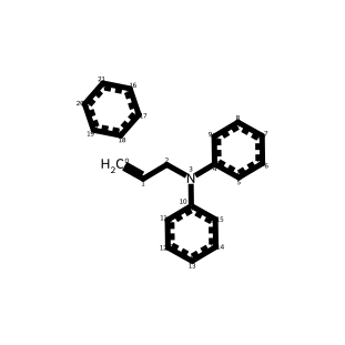 C=CCN(c1ccccc1)c1ccccc1.c1ccccc1